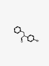 O=CC(Cc1ccccc1)c1ccc(Br)cc1